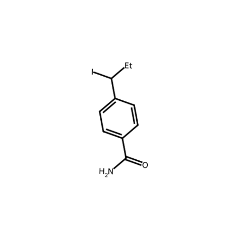 CCC(I)c1ccc(C(N)=O)cc1